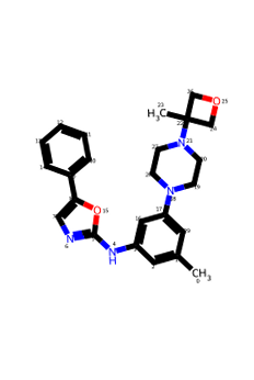 Cc1cc(Nc2ncc(-c3ccccc3)o2)cc(N2CCN(C3(C)COC3)CC2)c1